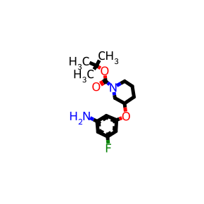 CC(C)(C)OC(=O)N1CCCC(Oc2cc(N)cc(F)c2)C1